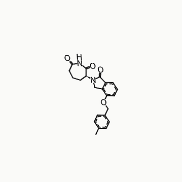 Cc1ccc(COc2cccc3c2CN([C@H]2CCCC(=O)NC2=O)C3=O)cc1